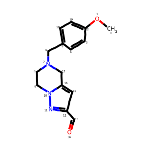 COc1ccc(CN2CCn3nc(C=O)cc3C2)cc1